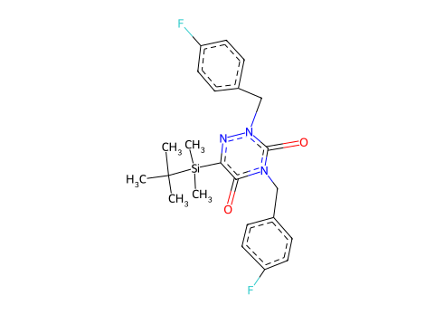 CC(C)(C)[Si](C)(C)c1nn(Cc2ccc(F)cc2)c(=O)n(Cc2ccc(F)cc2)c1=O